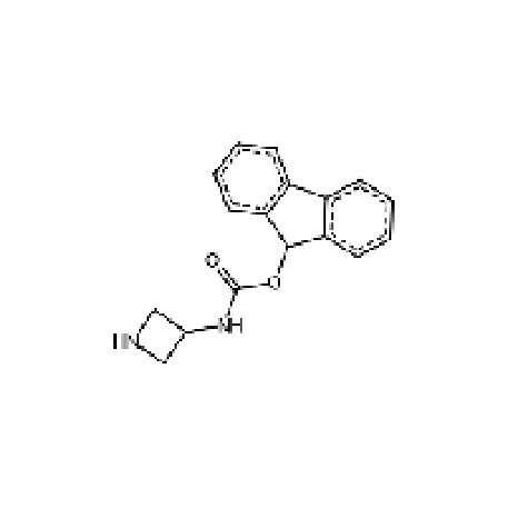 O=C(NC1CNC1)OC1c2ccccc2-c2ccccc21